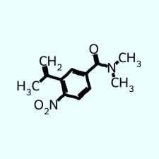 C=C(C)c1cc(C(=O)N(C)C)ccc1[N+](=O)[O-]